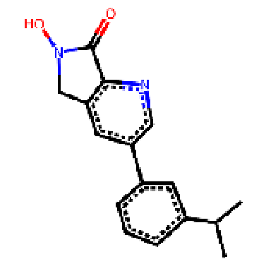 CC(C)c1cccc(-c2cnc3c(c2)CN(O)C3=O)c1